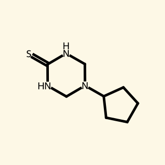 S=C1NCN(C2CCCC2)CN1